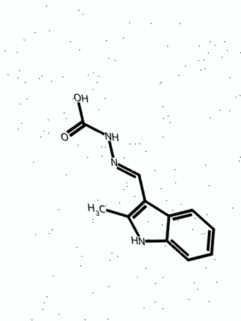 Cc1[nH]c2ccccc2c1C=NNC(=O)O